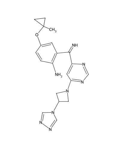 CC1(Oc2ccc(N)c(C(=N)c3cc(N4CC(n5cnnc5)C4)ncn3)c2)CC1